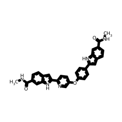 CNC(=O)c1ccc2cc(-c3ccc(Oc4ccc(-c5cc6ccc(C(=O)NC)cc6[nH]5)nc4)cc3)[nH]c2c1